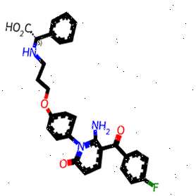 Nc1c(C(=O)c2ccc(F)cc2)ccc(=O)n1-c1ccc(OCCCN[C@H](C(=O)O)c2ccccc2)cc1